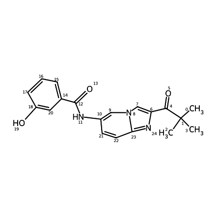 CC(C)(C)C(=O)c1cn2cc(NC(=O)c3cccc(O)c3)ccc2n1